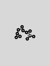 c1ccc(-c2cc(-c3ccccc3)nc(-n3c4ccccc4c4cc(-c5ccc6c(c5)c5ccccc5n6-c5cccc(-c6ccc7c8ccccc8c8ccccc8c7c6)c5)ccc43)n2)cc1